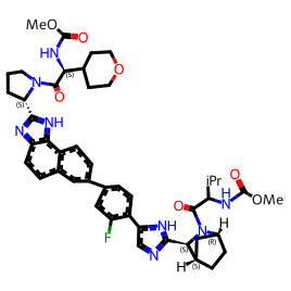 COC(=O)NC(C(=O)N1[C@@H]2CC[C@@H](C2)[C@H]1c1ncc(-c2ccc(-c3ccc4c(ccc5nc([C@@H]6CCCN6C(=O)[C@@H](NC(=O)OC)C6CCOCC6)[nH]c54)c3)cc2F)[nH]1)C(C)C